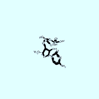 C[C@H]1O[C@@H](n2ccc(N)nc2=O)C(O)C1OP(=O)(O)OP(=O)(O)O